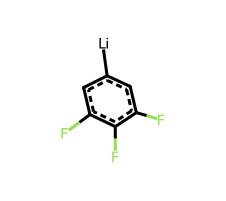 [Li][c]1cc(F)c(F)c(F)c1